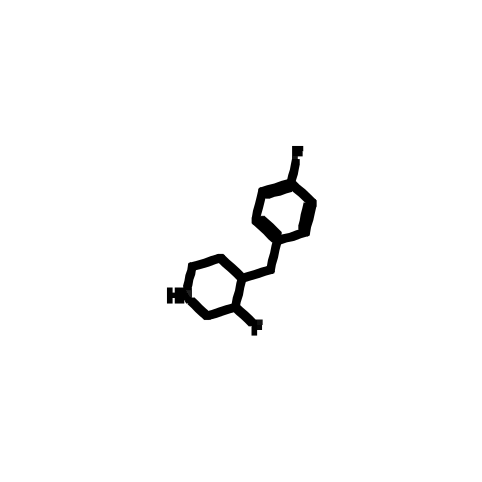 Fc1ccc(CC2CCNCC2F)cc1